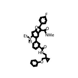 CCN(CC)c1cc2oc(-c3ccc(F)cc3)c(C(=O)NC)c2cc1-c1cccc(C(=O)NCC2(COc3ccccc3)CC2)c1